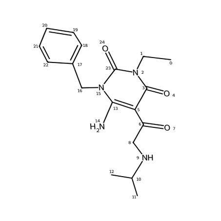 CCn1c(=O)c(C(=O)CNC(C)C)c(N)n(Cc2ccccc2)c1=O